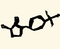 O=C1C(Cl)SCN1c1ccc(C(F)(F)F)cc1